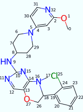 COc1cc(N2CCC(Nc3ncc4c(n3)N(C)C(c3ccccc3Cl)CO4)CC2)ccn1